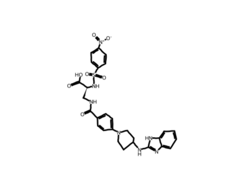 O=C(NC[C@H](NS(=O)(=O)c1ccc([N+](=O)[O-])cc1)C(=O)O)c1ccc(N2CCC(Nc3nc4ccccc4[nH]3)CC2)cc1